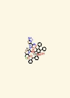 COC(=O)c1c(O)c(O)c(-c2ccccc2)c(-c2ccccc2)c1CO/N=C(\C(=O)NC1C(=O)N2C(C(=O)OC(c3ccccc3)c3ccccc3)=C(CCl)CS[C@@H]12)c1csc(N)n1